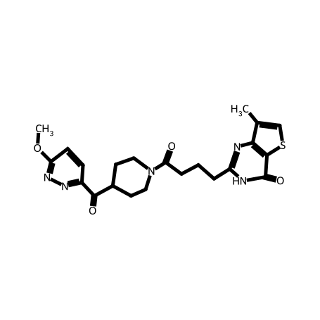 COc1ccc(C(=O)C2CCN(C(=O)CCCc3nc4c(C)csc4c(=O)[nH]3)CC2)nn1